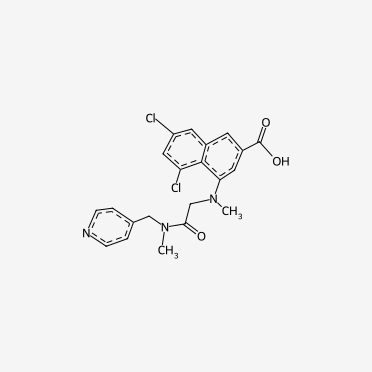 CN(Cc1ccncc1)C(=O)CN(C)c1cc(C(=O)O)cc2cc(Cl)cc(Cl)c12